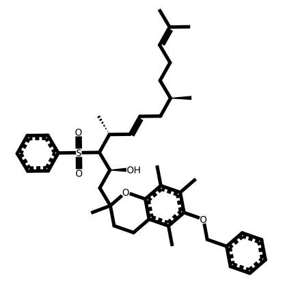 CC(C)=CCC[C@@H](C)C/C=C/[C@@H](C)C([C@@H](O)CC1(C)CCc2c(C)c(OCc3ccccc3)c(C)c(C)c2O1)S(=O)(=O)c1ccccc1